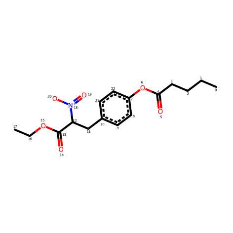 [CH2]CCCC(=O)Oc1ccc(CC(C(=O)OCC)[N+](=O)[O-])cc1